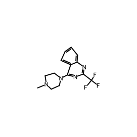 CN1CCN(c2nc(C(F)(F)F)nc3ccccc23)CC1